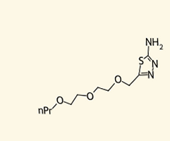 CCCOCCOCCOCc1nnc(N)s1